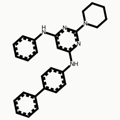 c1ccc(Nc2cc(Nc3ccc(-c4ccccc4)cc3)nc(N3CCCCC3)n2)cc1